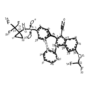 N#Cc1c(-c2ccc(S(=O)(=O)NC3(C(F)(F)F)CC3)cn2)n(-c2ncccn2)c2cc(OC(F)F)ccc12